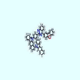 c1ccc2cc3c(cc2c1)c1ccccc1n3-c1cccc2cc3c4ccccc4n(-c4ccc(-c5nc(-c6ccc7oc8ccccc8c7c6)c6ccccc6n5)cc4)c3cc12